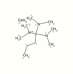 [CH2]CCC(N(C)C)(N(C)C)N(C)C.[GeH4]